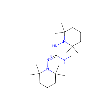 CN/C(=N\N1C(C)(C)CCCC1(C)C)NN1C(C)(C)CCCC1(C)C